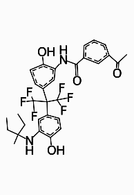 CCC(C)(CC)Nc1cc(C(c2ccc(O)c(NC(=O)c3cccc(C(C)=O)c3)c2)(C(F)(F)F)C(F)(F)F)ccc1O